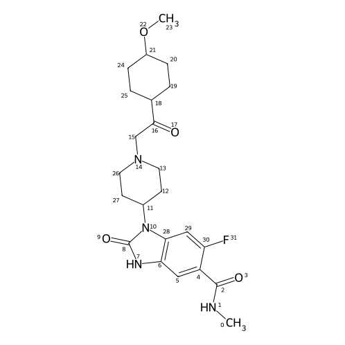 CNC(=O)c1cc2[nH]c(=O)n(C3CCN(CC(=O)C4CCC(OC)CC4)CC3)c2cc1F